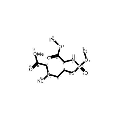 CCOP(=O)(NCC(=O)OC(C)C)SCCN(C#N)CC(=O)OC